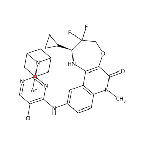 CC(=O)N1CC2CC(C1)N2c1ncc(Cl)c(Nc2ccc3c(c2)c2c(c(=O)n3C)OCC(F)(F)[C@H](C3CC3)N2)n1